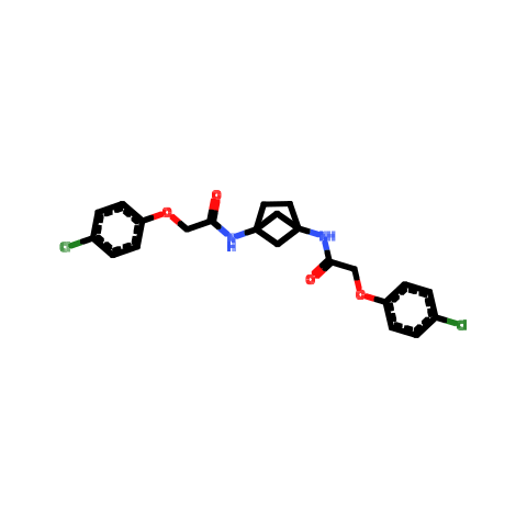 O=C(COc1ccc(Cl)cc1)NC12CCC(NC(=O)COc3ccc(Cl)cc3)(C1)C2